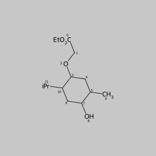 CCOC(=O)COC1CC(C)C(O)CC1C(C)C